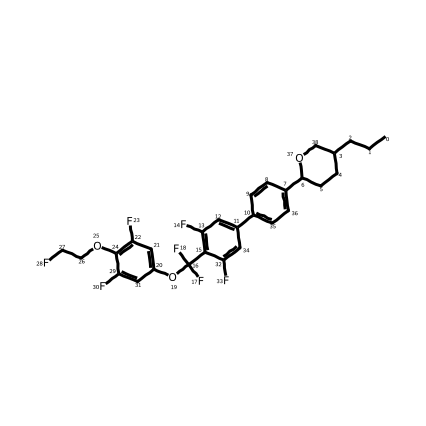 CCCC1CCC(c2ccc(-c3cc(F)c(C(F)(F)Oc4cc(F)c(OCCF)c(F)c4)c(F)c3)cc2)OC1